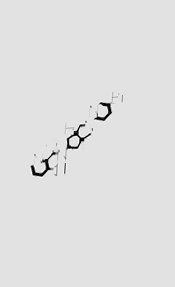 O=C(N[C@@H]1C[C@@H]2CN(c3ccc(Br)cn3)C[C@@H]2C1)c1ncccc1Cl